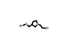 CC(C)CCN1CCC(CSC(C)C)C1